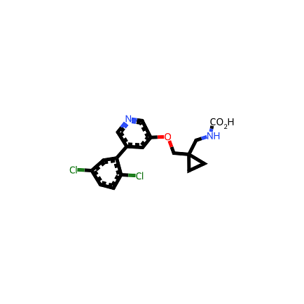 O=C(O)NCC1(COc2cncc(-c3cc(Cl)ccc3Cl)c2)CC1